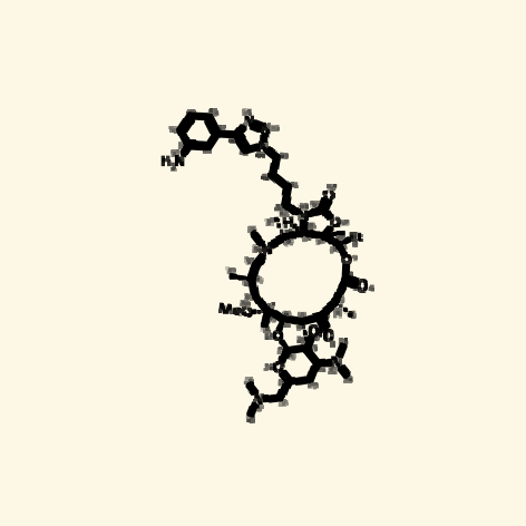 CC[C@H]1OC(=O)[C@H](C)C(=O)[C@H](C)[C@@H](O[C@@H]2OC(CN(C)C)CC(N(C)C)C2O)[C@](C)(OC)C[C@@H](C)CN(C)[C@H](C)[C@H]2N(CCCCn3cc(-c4cccc(N)c4)nn3)C(=O)O[C@]12C